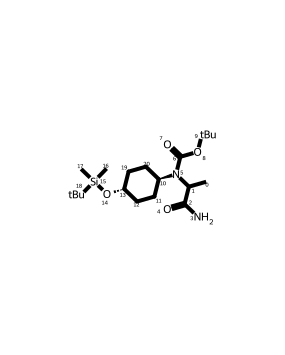 CC(C(N)=O)N(C(=O)OC(C)(C)C)[C@H]1CC[C@H](O[Si](C)(C)C(C)(C)C)CC1